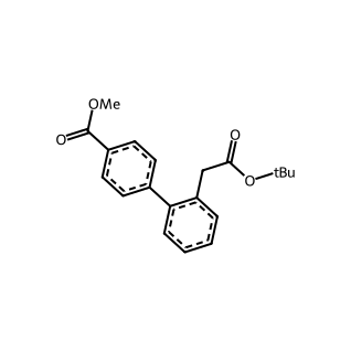 COC(=O)c1ccc(-c2ccccc2CC(=O)OC(C)(C)C)cc1